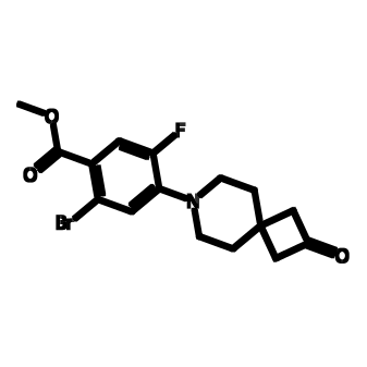 COC(=O)c1cc(F)c(N2CCC3(CC2)CC(=O)C3)cc1Br